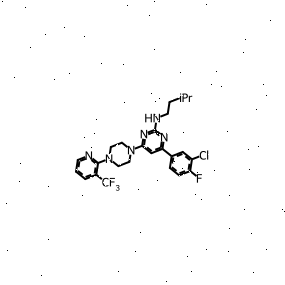 CC(C)CCNc1nc(-c2ccc(F)c(Cl)c2)cc(N2CCN(c3ncccc3C(F)(F)F)CC2)n1